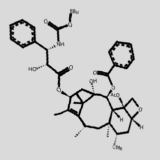 CO[C@H]1C[C@H]2OC[C@@]2(OC(C)=O)[C@H]2[C@H](OC(=O)c3ccccc3)[C@]3(O)C[C@H](OC(=O)[C@H](O)[C@@H](NC(=O)OC(C)(C)C)c4ccccc4)C(C)=C([C@@H](C)C[C@]12C)C3(C)C